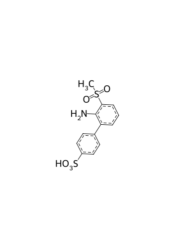 CS(=O)(=O)c1cccc(-c2ccc(S(=O)(=O)O)cc2)c1N